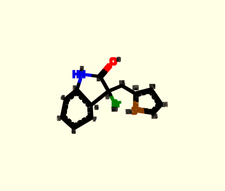 O=C1Nc2ccccc2C1(Br)Cc1cccs1